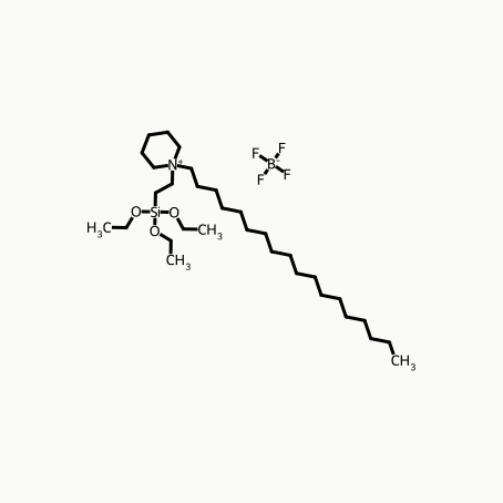 CCCCCCCCCCCCCCCCCC[N+]1(CC[Si](OCC)(OCC)OCC)CCCCC1.F[B-](F)(F)F